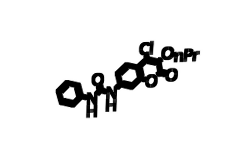 CCCOc1c(Cl)c2ccc(NC(=O)Nc3ccccc3)cc2oc1=O